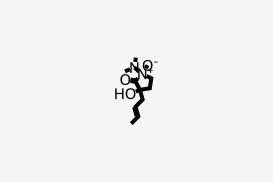 CC=CCC1(O)CC[N+]([O-])(N(C)C)C1=O